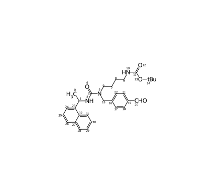 CC(NC(=O)N(CCCCNC(=O)OC(C)(C)C)Cc1ccc(C=O)cc1)c1cccc2ccccc12